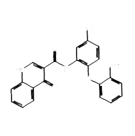 COc1ccccc1Oc1ccc(C(F)(F)F)cc1NC(=O)c1c[nH]c2ccccc2c1=O